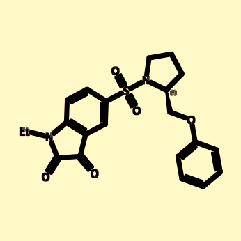 CCN1C(=O)C(=O)c2cc(S(=O)(=O)N3CCC[C@H]3COc3ccccc3)ccc21